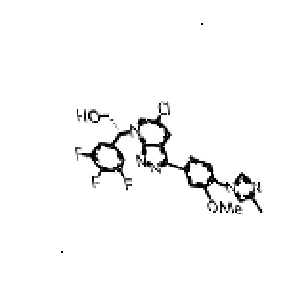 COc1cc(-c2nnc3n([C@@H](CO)c4cc(F)c(F)c(F)c4)cc(Cl)cc2-3)ccc1-n1cnc(C)c1